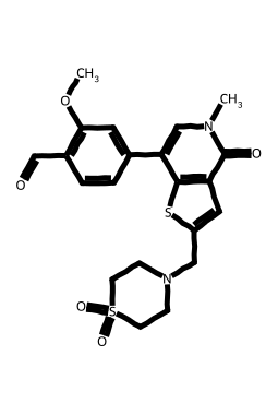 COc1cc(-c2cn(C)c(=O)c3cc(CN4CCS(=O)(=O)CC4)sc23)ccc1C=O